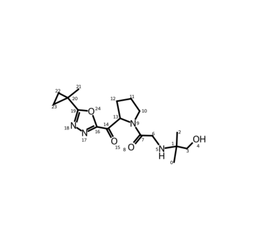 CC(C)(CO)NCC(=O)N1CCCC1C(=O)c1nnc(C2(C)CC2)o1